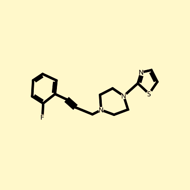 Fc1ccccc1C#CCN1CCN(c2nccs2)CC1